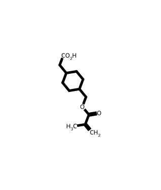 C=C(C)C(=O)OCC1CCC(CC(=O)O)CC1